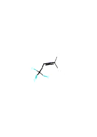 CC/C(C)=[C]/C(F)(F)F